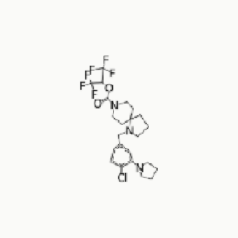 O=C(OC(C(F)(F)F)C(F)(F)F)N1CCC2(CCCN2Cc2ccc(Cl)c(N3CCCC3)c2)CC1